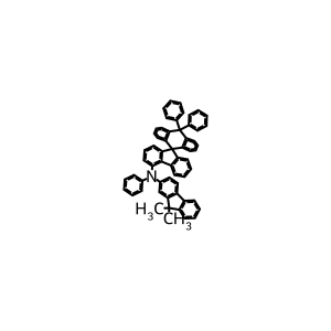 CC1(C)c2ccccc2-c2ccc(N(c3ccccc3)c3cccc4c3-c3ccccc3C43c4ccccc4C(c4ccccc4)(c4ccccc4)c4ccccc43)cc21